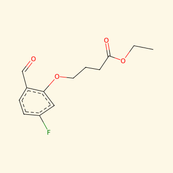 CCOC(=O)CCCOc1cc(F)ccc1C=O